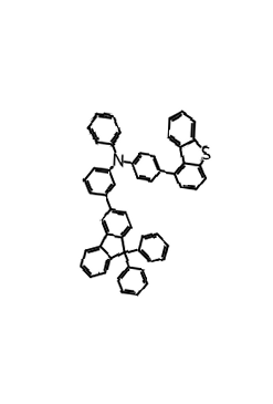 c1ccc(N(c2ccc(-c3cccc4sc5ccccc5c34)cc2)c2cccc(-c3ccc4c(c3)-c3ccccc3C4(c3ccccc3)c3ccccc3)c2)cc1